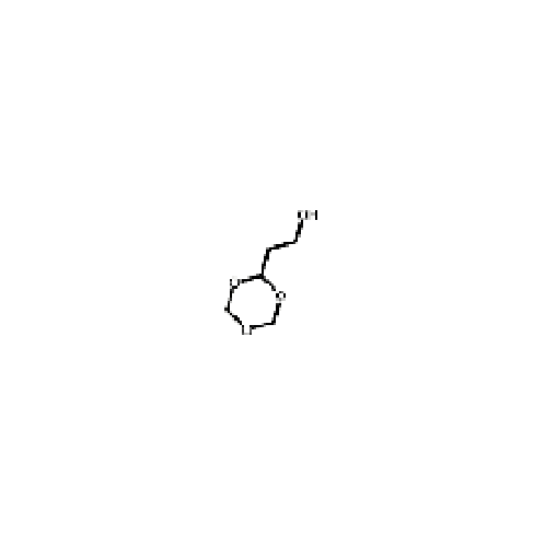 OCCC1OCOCO1